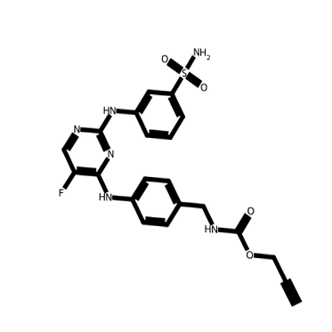 C#CCOC(=O)NCc1ccc(Nc2nc(Nc3cccc(S(N)(=O)=O)c3)ncc2F)cc1